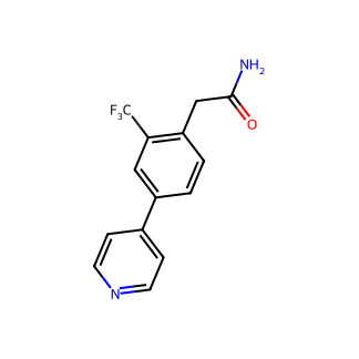 NC(=O)Cc1ccc(-c2ccncc2)cc1C(F)(F)F